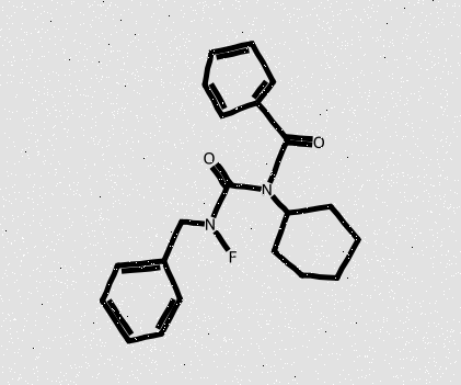 O=C(c1ccccc1)N(C(=O)N(F)Cc1ccccc1)C1CCCCC1